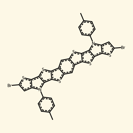 Cc1ccc(-n2c3cc(Br)sc3c3sc4c5cc6sc7c(sc8c9sc(Br)cc9n(-c9ccc(C)cc9)c78)c6cc5sc4c32)cc1